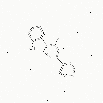 Oc1ccccc1-c1ccc(-c2ccccc2)cc1I